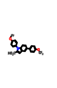 CC(C)Oc1ccc(-n2c(C(=O)O)cc3cc(-c4ccc(OC(F)(F)F)cc4)ccc32)cc1